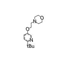 CC(C)(C)c1ccc(OCCN2CCOCC2)cn1